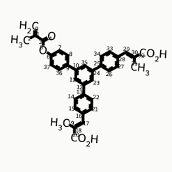 C=C(C)C(=O)Oc1ccc(-c2cc(-c3ccc(C=C(C)C(=O)O)cc3)cc(-c3ccc(C=C(C)C(=O)O)cc3)c2)cc1